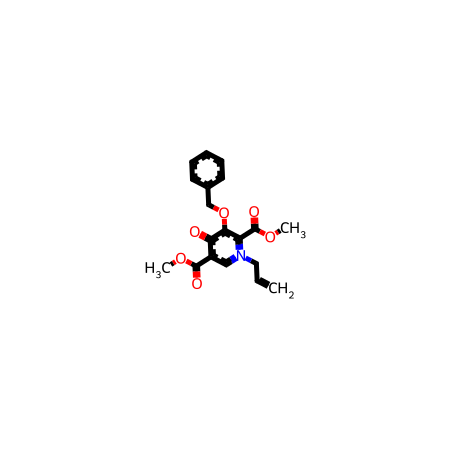 C=CCn1cc(C(=O)OC)c(=O)c(OCc2ccccc2)c1C(=O)OC